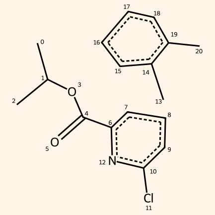 CC(C)OC(=O)c1cccc(Cl)n1.Cc1ccccc1C